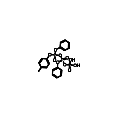 Cc1ccc(OP(=O)(Oc2ccccc2)OP(=O)(Oc2ccccc2)OP(=O)(O)O)cc1